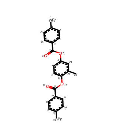 CCCc1ccc(C(=O)Oc2ccc(OC(=O)c3ccc(CCC)cc3)c(C)c2)cc1